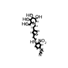 [N-]=[N+]=Nc1ccc(NCCc2cc(CCN3CC(O)C(O)C(O)C3CO)cs2)c([N+](=O)[O-])c1